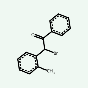 Cc1ccccc1C(Br)C(=O)c1ccccc1